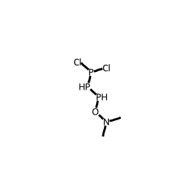 CN(C)OPPP(Cl)Cl